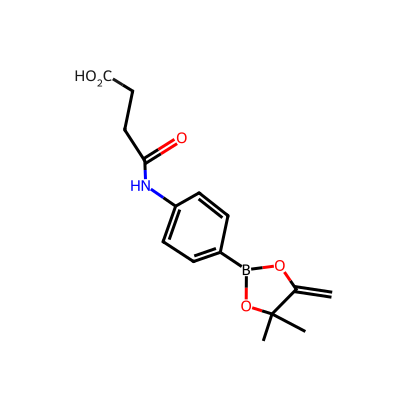 C=C1OB(c2ccc(NC(=O)CCC(=O)O)cc2)OC1(C)C